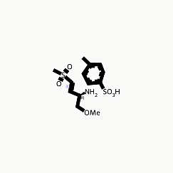 COC[C@H](N)/C=C/S(C)(=O)=O.Cc1ccc(S(=O)(=O)O)cc1